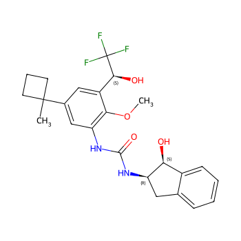 COc1c(NC(=O)N[C@@H]2Cc3ccccc3[C@@H]2O)cc(C2(C)CCC2)cc1[C@H](O)C(F)(F)F